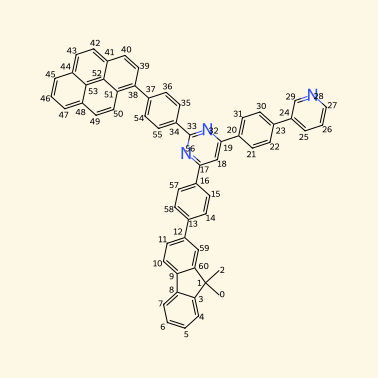 CC1(C)c2ccccc2-c2ccc(-c3ccc(-c4cc(-c5ccc(-c6cccnc6)cc5)nc(-c5ccc(-c6ccc7ccc8cccc9ccc6c7c89)cc5)n4)cc3)cc21